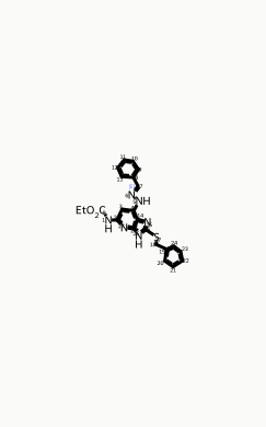 CCOC(=O)Nc1cc(N/N=C/c2ccccc2)c2nc(SCc3ccccc3)[nH]c2n1